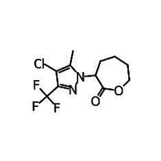 Cc1c(Cl)c(C(F)(F)F)nn1C1CCCCOC1=O